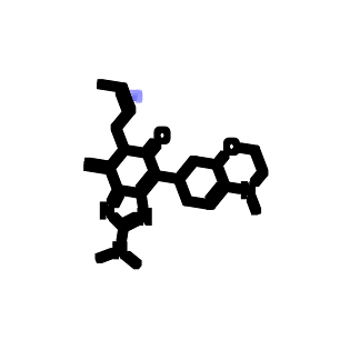 C=C1C2=NC(N(C)C)=NC2=C(C2CC=C3C(C2)OCCN3C)C(=O)C1C/C=C\C